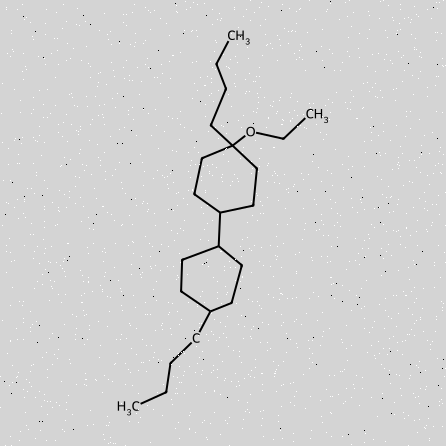 CCCCC1CCC(C2CCC(CCCC)(OCC)CC2)CC1